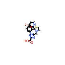 O=C(O)c1nc2n(n1)-c1ccc(Br)cc1C1(c3ccccn3)SCCN1C2